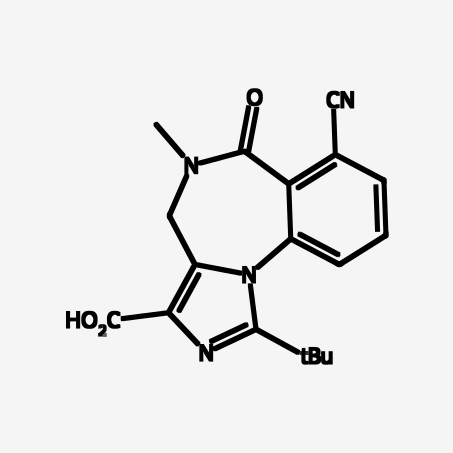 CN1Cc2c(C(=O)O)nc(C(C)(C)C)n2-c2cccc(C#N)c2C1=O